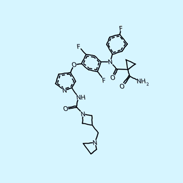 NC(=O)C1(C(=O)N(c2ccc(F)cc2)c2cc(F)c(Oc3ccnc(NC(=O)N4CC(CN5CCC5)C4)c3)cc2F)CC1